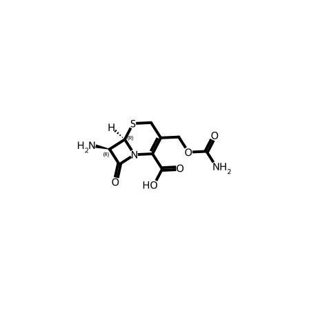 NC(=O)OCC1=C(C(=O)O)N2C(=O)[C@@H](N)[C@H]2SC1